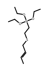 CC=CCSCC[Si](OCC)(OCC)OCC